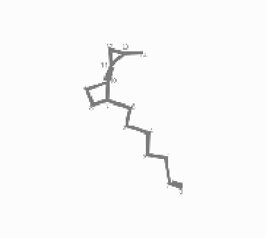 C=CCCCCCC1CCC1=C1CC1C